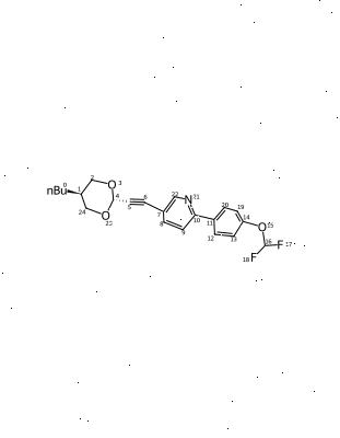 CCCC[C@H]1CO[C@H](C#Cc2ccc(-c3ccc(OC(F)F)cc3)nc2)OC1